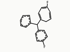 FC1=CC=C(C(c2ccccc2)c2ccc(F)cc2)CC=C1